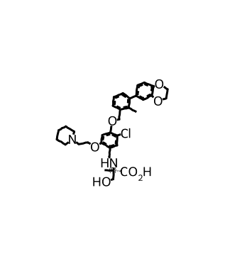 Cc1c(COc2cc(OCCN3CCCCC3)c(CN[C@](C)(CO)C(=O)O)cc2Cl)cccc1-c1ccc2c(c1)OCCO2